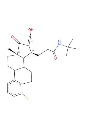 CC(C)(C)NC(=O)CC[C@@H]1/C(=C/O)C(=O)[C@@]2(C)CCC3c4cccc(F)c4CCC3C12